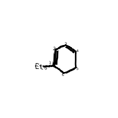 [CH2]CC1=CC=CCC1